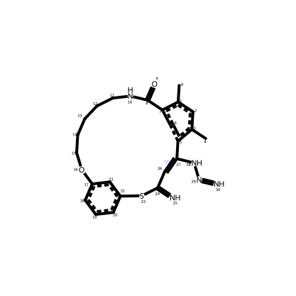 Cc1cc(C)c2cc1C(=O)NCCCCCOc1cccc(c1)SC(=N)/C=C/2NN=N